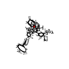 CCCCOc1cc(C(F)(F)C(NS(=O)(=O)c2ccc(OCC3CCCCC3)cc2)C(=O)N2C3CCC2CC(N)C3)ccc1Cl